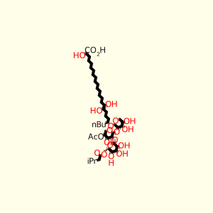 CCCC[C@H](CCC[C@H](O)[C@@H](O)CCCCCCCCCCCCCC[C@@H](O)C(=O)O)OC1OC[C@H](O)[C@@H](O)[C@@H]1O[C@H]1OC[C@H](OC(C)=O)[C@@H](O)[C@@H]1O[C@H]1O[C@@H](COC(=O)CC(C)C)[C@H](O)[C@@H](O)[C@@H]1O